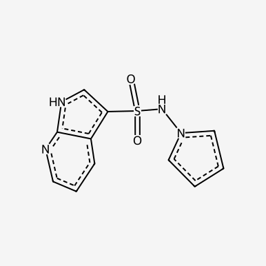 O=S(=O)(Nn1cccc1)c1c[nH]c2ncccc12